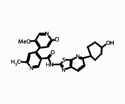 COc1cnc(Cl)cc1-c1cc(C)ncc1C(=O)Nc1nc2ccc(C3CCC(O)CC3)nc2s1